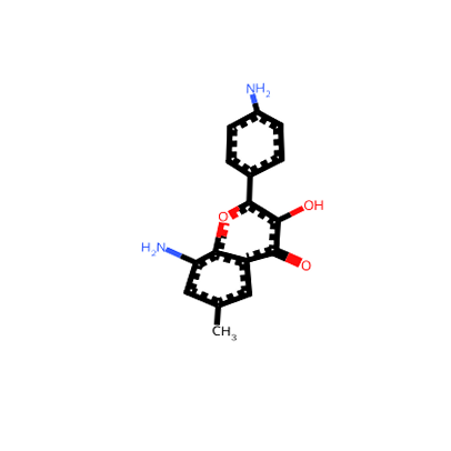 Cc1cc(N)c2oc(-c3ccc(N)cc3)c(O)c(=O)c2c1